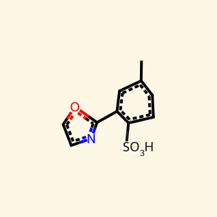 Cc1ccc(S(=O)(=O)O)c(-c2ncco2)c1